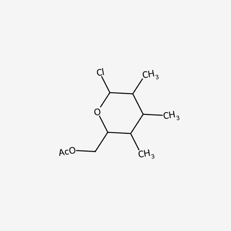 CC(=O)OCC1OC(Cl)C(C)C(C)C1C